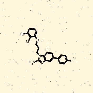 Nc1nc2cc(-c3ccc(F)cc3)ccc2n1CCCOc1cccc(Cl)c1Cl